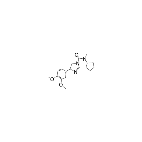 COc1ccc(C2CN(C(=O)N(C)C3CCCC3)C=N2)cc1OC